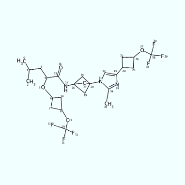 C[C](C)CC(OC1CC(OC(F)(F)F)C1)C(=O)NC12CC(n3cc(C4CC(OC(F)(F)F)C4)nc3C)(C1)C2